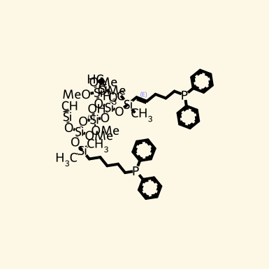 C#[Si]O[Si](OC)(O[Si](C)(C)CCCCCP(c1ccccc1)c1ccccc1)O[Si@](O)(OC)O[Si](O[Si]#C)(O[Si](C)(C)/C=C/CCCP(c1ccccc1)c1ccccc1)O[Si](OC)(OC)OC